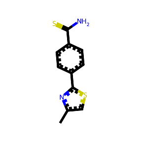 Cc1csc(-c2ccc(C(N)=S)cc2)n1